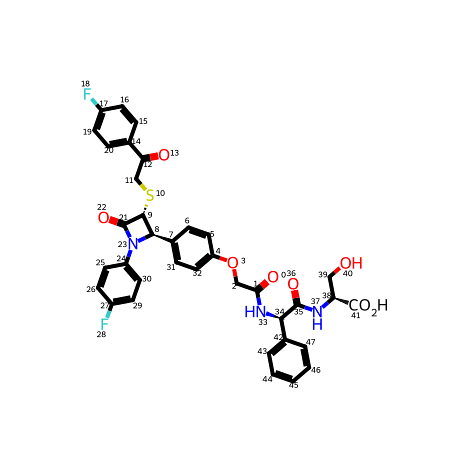 O=C(COc1ccc([C@@H]2[C@@H](SCC(=O)c3ccc(F)cc3)C(=O)N2c2ccc(F)cc2)cc1)N[C@@H](C(=O)N[C@@H](CO)C(=O)O)c1ccccc1